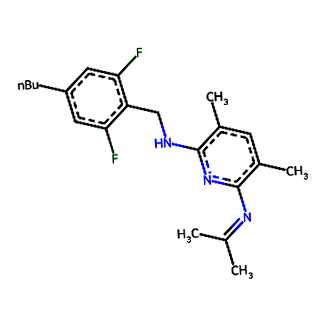 CCCCc1cc(F)c(CNc2nc(N=C(C)C)c(C)cc2C)c(F)c1